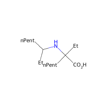 CCCCCC(CC)NC(CC)(CCCCC)C(=O)O